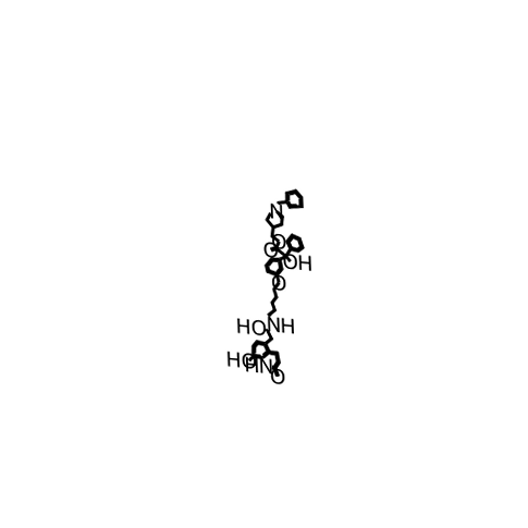 O=C(OCC1CCN(Cc2ccccc2)CC1)C(O)(c1ccccc1)c1cccc(OCCCCCN[C@H](O)Cc2ccc(O)c3[nH]c(=O)ccc23)c1